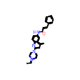 CCN1CCN(c2cc(C)c3cc(NC(=O)/C=C/c4ccccc4)ccc3n2)CC1